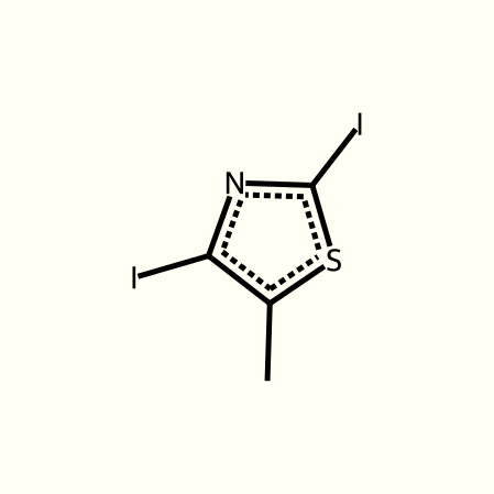 Cc1sc(I)nc1I